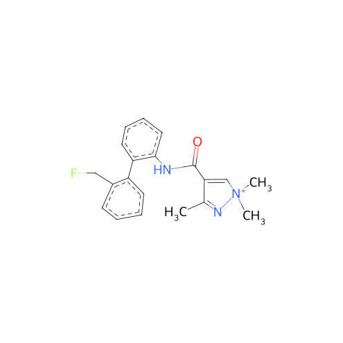 CC1=N[N+](C)(C)C=C1C(=O)Nc1ccccc1-c1ccccc1CF